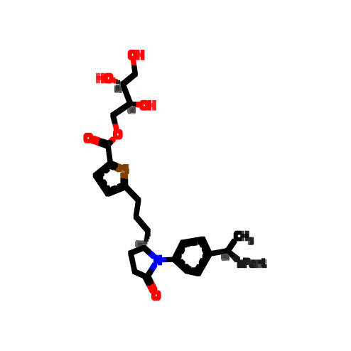 CCCCC[C@H](C)c1ccc(N2C(=O)CC[C@@H]2CCCc2ccc(C(=O)OC[C@H](O)[C@H](O)CO)s2)cc1